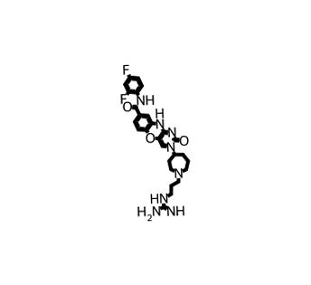 N=C(N)NCCCN1CCCC(n2cc3c(nc2=O)Nc2cc(C(=O)Nc4ccc(F)cc4F)ccc2O3)CC1